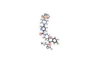 CC(C)O[C@@H]1CC2(CCN(C(=O)c3ccc(N4CCN(S(C)(=O)=O)CC4)cn3)CC2)Oc2ccc(F)cc21